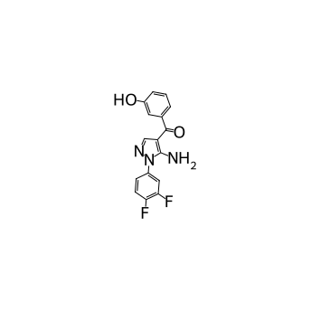 Nc1c(C(=O)c2cccc(O)c2)cnn1-c1ccc(F)c(F)c1